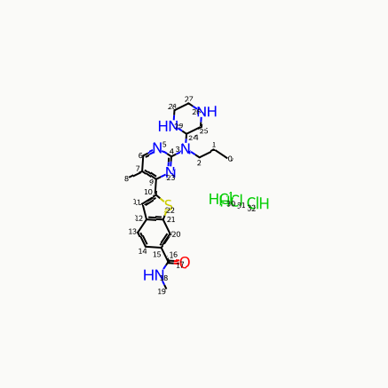 CCCN(c1ncc(C)c(-c2cc3ccc(C(=O)NC)cc3s2)n1)C1CNCCN1.Cl.Cl.Cl